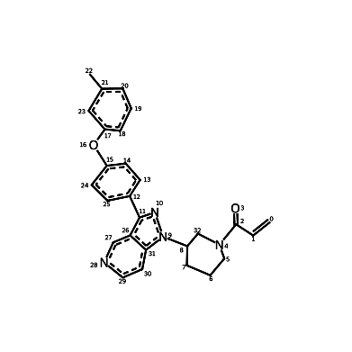 C=CC(=O)N1CCCC(n2nc(-c3ccc(Oc4cccc(C)c4)cc3)c3cnccc32)C1